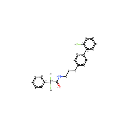 O=C(NCCCc1ccc(-c2ccccc2F)cc1)C(F)(F)c1ccccc1